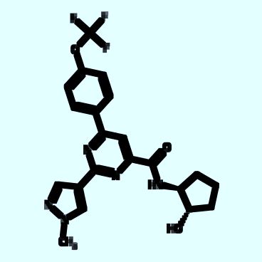 Cn1cc(-c2nc(C(=O)N[C@H]3CCC[C@@H]3O)cc(-c3ccc(OC(F)(F)F)cc3)n2)cn1